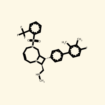 CNC[C@@H]1[C@@H](c2ccc(-c3ccc(F)c(C)c3C)cc2)C2CN(S(=O)(=O)c3ccccc3C(F)(F)F)C/C=C\CN21